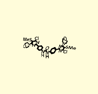 CSc1c(Cl)nc(-c2ccc(NC(=O)Nc3ccc(-c4nc(Cl)c(SC)c(N5CCOCC5)n4)cc3)cc2)nc1N1CCOCC1